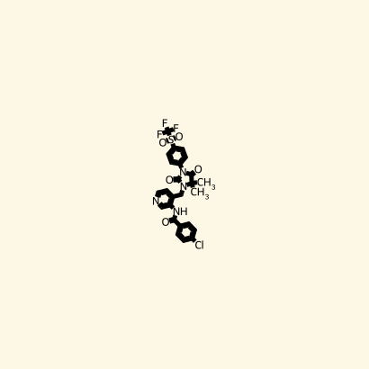 CC1(C)C(=O)N(c2ccc(S(=O)(=O)C(F)(F)F)cc2)C(=O)N1Cc1ccncc1NC(=O)c1ccc(Cl)cc1